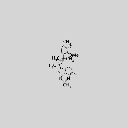 COc1c(C(C)(C)CC(O)(C2Nc3nc(C)nc4c(F)ccc2c34)C(F)(F)F)ccc(C)c1Cl